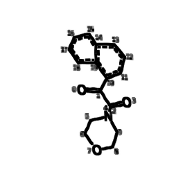 O=C(C(=O)N1CCOCC1)c1cccc2ccccc12